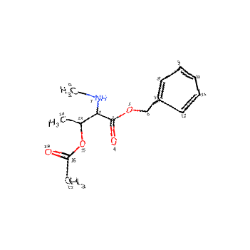 CNC(C(=O)OCc1ccccc1)C(C)OC(C)=O